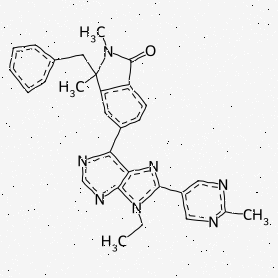 CCn1c(-c2cnc(C)nc2)nc2c(-c3ccc4c(c3)C(C)(Cc3ccccc3)N(C)C4=O)ncnc21